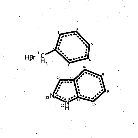 Br.Cc1ccccc1.c1ccc2[nH]ncc2c1